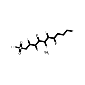 N.O=S(=O)(O)CC(F)C(F)C(F)C(F)C(F)C(F)CCCF